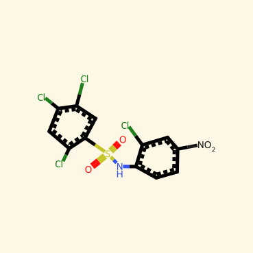 O=[N+]([O-])c1ccc(NS(=O)(=O)c2cc(Cl)c(Cl)cc2Cl)c(Cl)c1